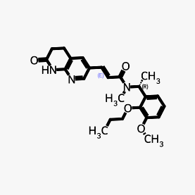 CCCOc1c(OC)cccc1[C@@H](C)N(C)C(=O)/C=C/c1cnc2c(c1)CCC(=O)N2